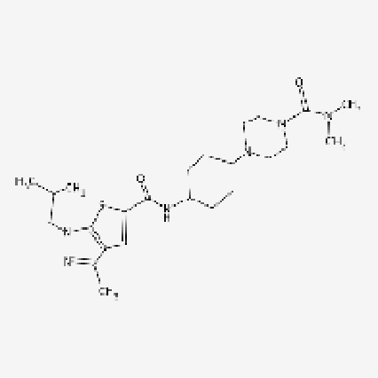 Cc1nn(CC(C)C)c2sc(C(=O)NC3CCC(N4CCN(C(=O)N(C)C)CC4)CC3)cc12